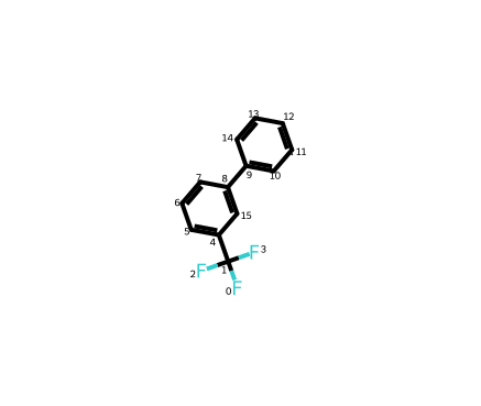 FC(F)(F)c1cccc(-c2c[c]ccc2)c1